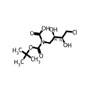 CC(C)(C)OC(=O)N(C[C@@H](O)[C@H](O)CCl)C(=O)O